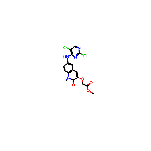 COC(=O)COc1cc2cc(Nc3nc(Cl)ncc3Cl)ccc2n(C)c1=O